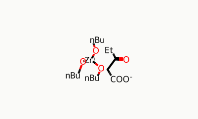 CCC(=O)CC(=O)[O-].CCCC[O][Zr+]([O]CCCC)[O]CCCC